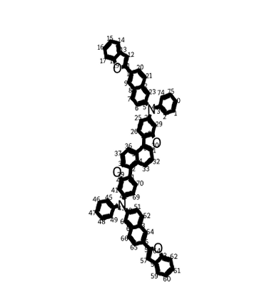 c1ccc(N(c2ccc3cc(-c4cc5ccccc5o4)ccc3c2)c2ccc3c(c2)oc2ccc4c(ccc5oc6cc(N(c7ccccc7)c7ccc8cc(-c9cc%10ccccc%10o9)ccc8c7)ccc6c54)c23)cc1